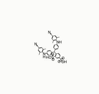 Cc1cc(C#N)cc(C)c1Nc1ccc(C(c2ccc(Nc3c(C)cc(C#N)cc3C)cc2)c2ccc(S(=O)(=O)O)cc2S(=O)(=O)O)cc1